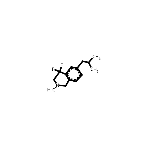 CC(C)Cc1ccc2c(c1)C(F)(F)CN(C)C2